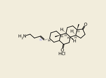 C[C@]12CC[C@@H](/C=C/CCN)CC1C(=O)C[C@@H]1[C@@H]2CC[C@]2(C)C(=O)CC[C@@H]12.Cl